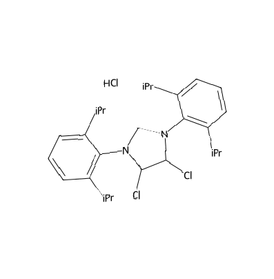 CC(C)c1cccc(C(C)C)c1N1CN(c2c(C(C)C)cccc2C(C)C)C(Cl)C1Cl.Cl